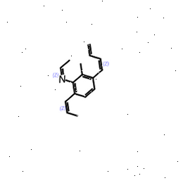 C=C/C=C\c1ccc(/C=C\C)c(/N=C\C)c1C